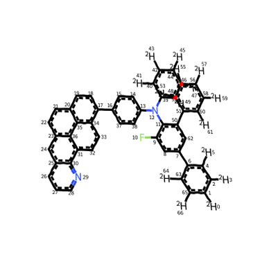 [2H]c1c([2H])c([2H])c(-c2cc(F)c(N(c3ccc(-c4ccc5ccc6cc7cccnc7c7ccc4c5c67)cc3)c3c([2H])c([2H])c([2H])c([2H])c3[2H])c(-c3c([2H])c([2H])c([2H])c([2H])c3[2H])c2)c([2H])c1[2H]